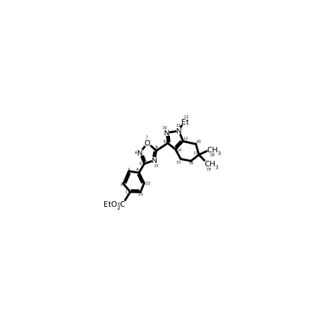 CCOC(=O)c1ccc(-c2noc(-c3nn(CC)c4c3CCC(C)(C)C4)n2)cc1